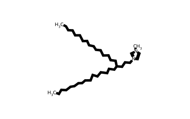 CCCCCCCCCCCCCCCCC(CCCCCCCCCCCCCCCC)CCC[n+]1ccn(C)c1